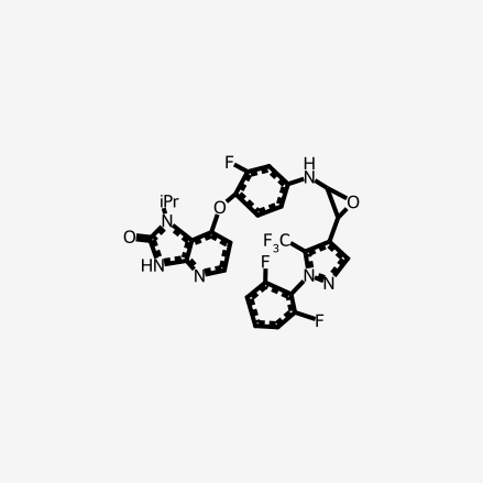 CC(C)n1c(=O)[nH]c2nccc(Oc3ccc(NC4OC4c4cnn(-c5c(F)cccc5F)c4C(F)(F)F)cc3F)c21